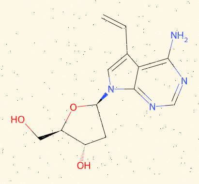 C=Cc1cn([C@H]2C[C@H](O)[C@@H](CO)O2)c2ncnc(N)c12